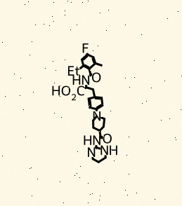 CCc1cc(F)cc(C)c1C(=O)NC(Cc1ccc(N2CCC(C(=O)NC3=NCCCN3)CC2)cc1)C(=O)O